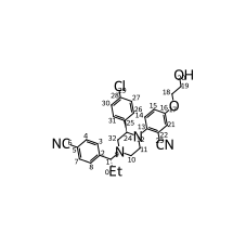 CC[C@H](c1ccc(C#N)cc1)N1CCN(c2ccc(OCCO)cc2C#N)[C@H](c2ccc(Cl)cc2)C1